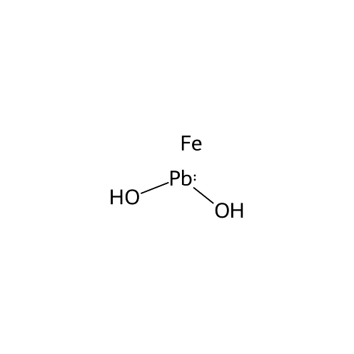 [Fe].[OH][Pb][OH]